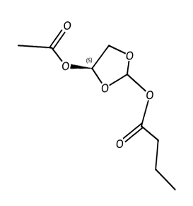 CCCC(=O)OC1OC[C@H](OC(C)=O)O1